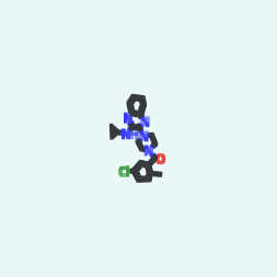 Cc1ccc(Cl)cc1C(=O)N1CCN(c2nc3ccccc3nc2NC2CC2)CC1